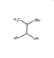 CCCC(CCC)N(C)C(C)(C)C